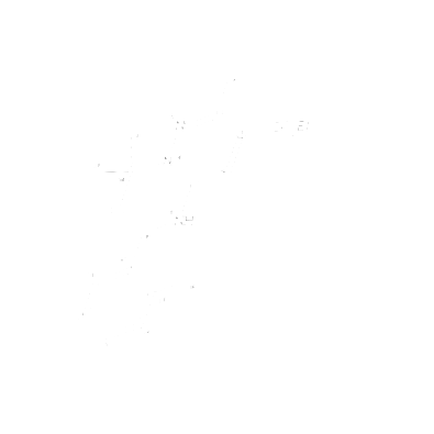 C=C(C(=O)OCC)/C(C)=N\N1CNC(c2ccccc2C)CC1(C)C